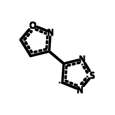 [c]1nsnc1-c1ccon1